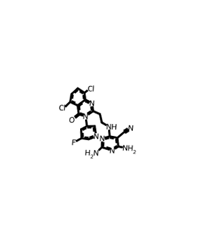 N#Cc1c(N)nc(N)nc1NCCc1nc2c(Cl)ccc(Cl)c2c(=O)n1-c1cncc(F)c1